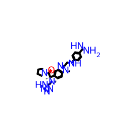 CN(c1nnn[nH]1)[C@@](C)(C(=O)N1CCCC1)c1ccc2c(c1)nc(CNc1ccc(C(=N)N)cc1)n2C